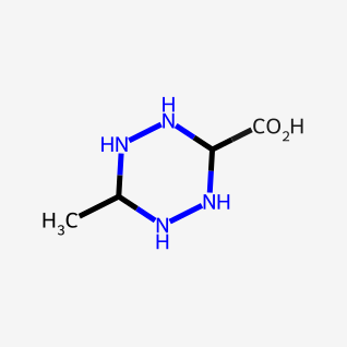 CC1NNC(C(=O)O)NN1